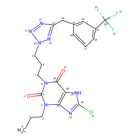 CCCn1c(=O)n(CCCn2nnc(Cc3cccc(C(F)(F)F)c3)n2)c(=O)c2[nH]c(Cl)nc21